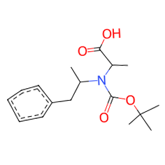 CC(Cc1ccccc1)N(C(=O)OC(C)(C)C)C(C)C(=O)O